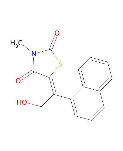 CN1C(=O)SC(=C(CO)c2cccc3ccccc23)C1=O